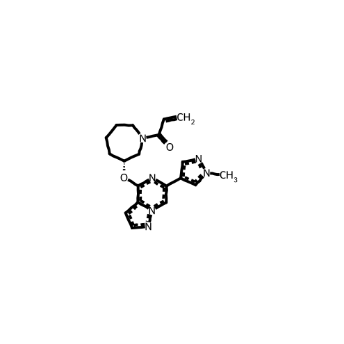 C=CC(=O)N1CCCC[C@@H](Oc2nc(-c3cnn(C)c3)cn3nccc23)C1